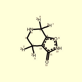 [2H]C1([2H])CNC([2H])([2H])c2o[nH]c(=O)c21